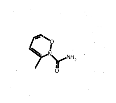 CC1=CC=CON1C(N)=O